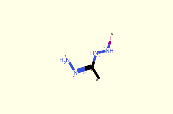 C/C(=N/N)NNI